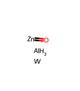 [AlH3].[O]=[Zn].[W]